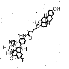 Cn1ncnc1[C@H]1c2n[nH]c(=O)c3cc(F)cc(c23)N[C@@H]1c1ccc(NC(=O)CCCCO[C@H]2CC[C@H]3[C@@H]4CCc5cc(O)ccc5[C@H]4CC[C@]23C)cc1